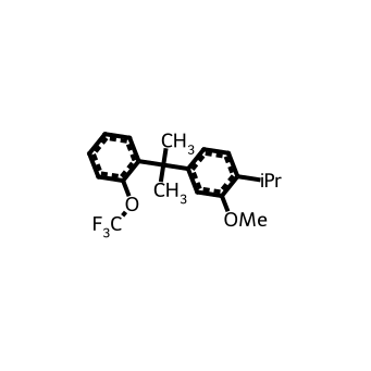 COc1cc(C(C)(C)c2ccccc2OC(F)(F)F)ccc1C(C)C